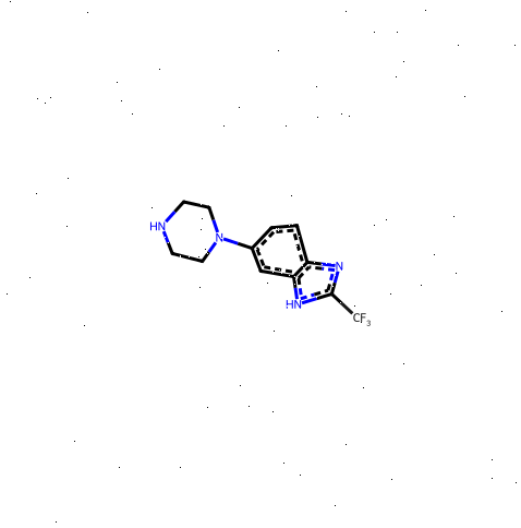 FC(F)(F)c1nc2ccc(N3CCNCC3)cc2[nH]1